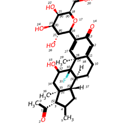 CC(=O)[C@H]1C(C)C[C@H]2[C@@H]3CCC4=CC(=O)C(C5O[C@H](CO)[C@H](O)[C@H](O)[C@H]5O)=C[C@]4(C)C3(F)C(O)C[C@]12C